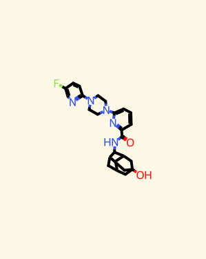 O=C(NC1C2CC3CC1CC(O)(C3)C2)c1cccc(N2CCN(c3ccc(F)cn3)CC2)n1